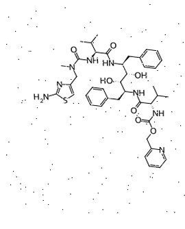 CC(C)[C@H](NC(=O)OCc1ccccn1)C(=O)N[C@@H](Cc1ccccc1)[C@H](O)[C@@H](O)[C@H](Cc1ccccc1)NC(=O)[C@@H](NC(=O)N(C)Cc1csc(N)n1)C(C)C